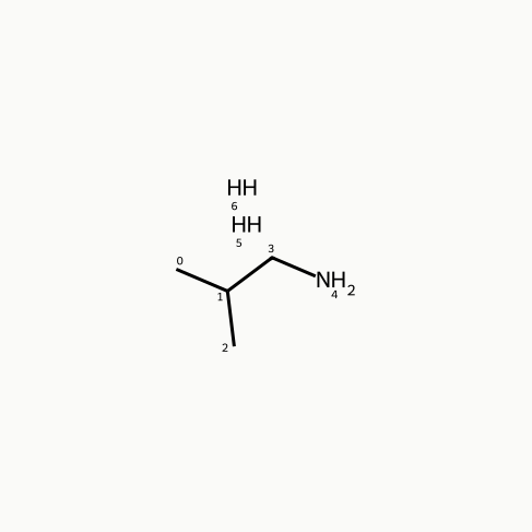 CC(C)CN.[HH].[HH]